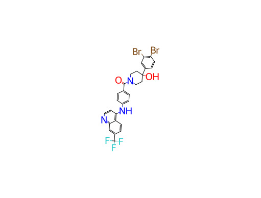 O=C(c1ccc(Nc2ccnc3cc(C(F)(F)F)ccc23)cc1)N1CCC(O)(c2ccc(Br)c(Br)c2)CC1